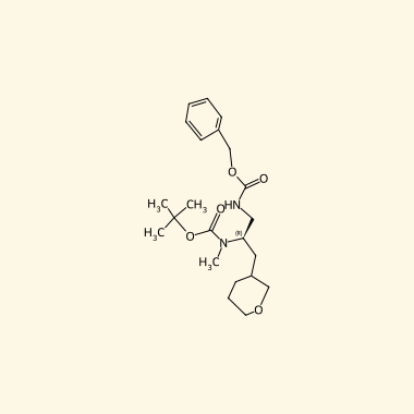 CN(C(=O)OC(C)(C)C)[C@@H](CNC(=O)OCc1ccccc1)CC1CCCOC1